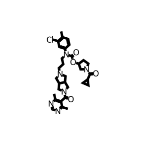 Cc1ccc(N(CCCN2CC3CN(C(=O)c4c(C)ncnc4C)CC3C2)C(=O)OC2CCN(C(=O)C3CC3)C2)cc1Cl